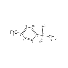 [CH2]C(F)(F)c1ccc(C(F)(F)F)cc1